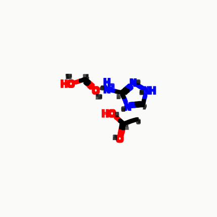 CC(=O)O.Nc1nc[nH]n1.O=CO